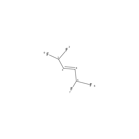 FC(F)C=CC(F)F